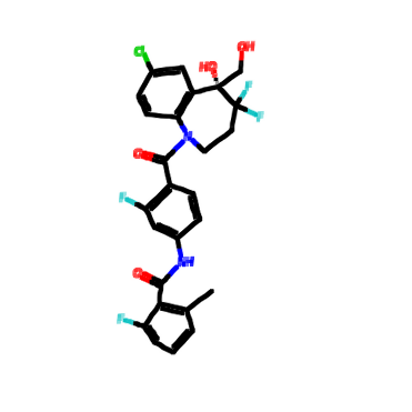 Cc1cccc(F)c1C(=O)Nc1ccc(C(=O)N2CCC(F)(F)[C@](O)(CO)c3cc(Cl)ccc32)c(F)c1